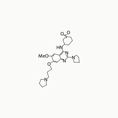 COc1cc2c(NC3CCCS(=O)(=O)C3)nc(N3CCCC3)nc2cc1OCCCN1CCCC1